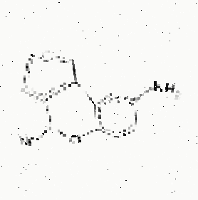 N#CC1Oc2ccc(N)cc2-c2ccccc21